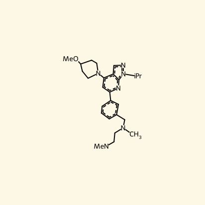 CNCCN(C)Cc1cccc(-c2cc(N3CCC(OC)CC3)c3cnn(C(C)C)c3n2)c1